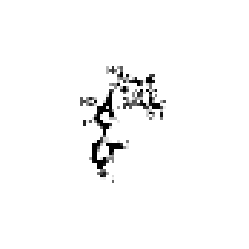 CCC[C@]12O[C@@H](n3ccc(N)nc3=O)[C@H](F)[C@@]1(O)C2OP(=O)(O)OP(=O)(O)OP(=O)(O)O